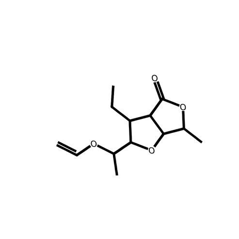 C=COC(C)C1OC2C(C)OC(=O)C2C1CC